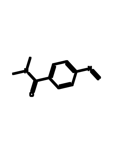 C=Nc1ccc(C(=O)N(C)C)cc1